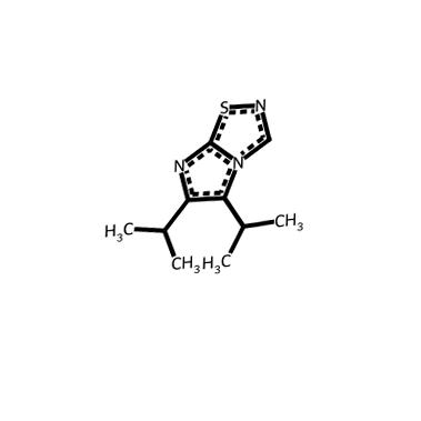 CC(C)c1nc2sncn2c1C(C)C